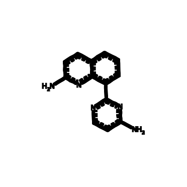 Nc1ccnc(-c2cccc3ccc(N)nc23)n1